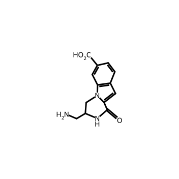 NCC1Cn2c(cc3ccc(C(=O)O)cc32)C(=O)N1